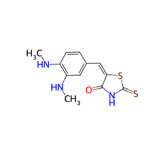 CNc1ccc(/C=C2/SC(=S)NC2=O)cc1NC